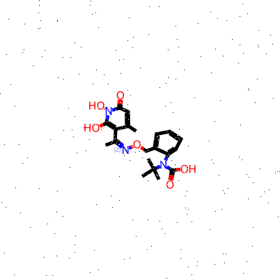 C/C(=N/OCc1ccccc1N(C(=O)O)C(C)(C)C)c1c(C)cc(=O)n(O)c1O